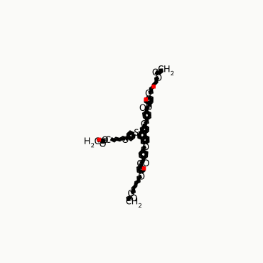 C=CC(=O)OCCCCCCOc1ccc(OC(=O)C2CCC(COc3ccc4c(c3)cc(Sc3ccc(OCCCCCCOC(=O)C=C)cc3)c3cc(OCC5CCC(C(=O)Oc6ccc(OCCCCCCOC(=O)C=C)cc6)CC5)ccc34)CC2)cc1